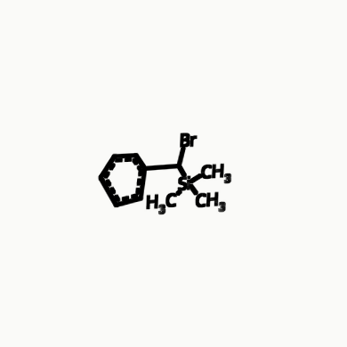 C[Si](C)(C)C(Br)c1ccccc1